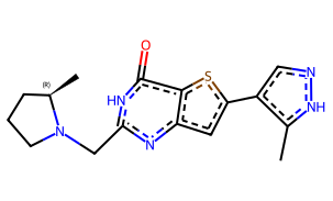 Cc1[nH]ncc1-c1cc2nc(CN3CCC[C@H]3C)[nH]c(=O)c2s1